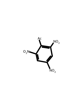 [CH2]C(=O)c1c([N+](=O)[O-])cc([N+](=O)[O-])cc1[N+](=O)[O-]